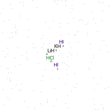 Cl.I.I.[KH].[LiH]